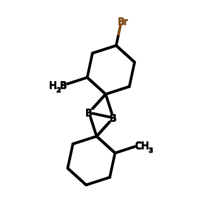 BC1CC(Br)CCC12B1B2C12CCCCC2C